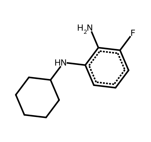 Nc1c(F)cccc1NC1CCCCC1